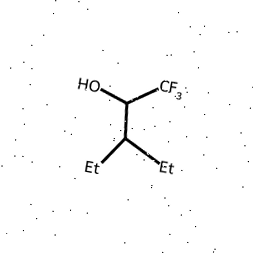 CCC(CC)C(O)C(F)(F)F